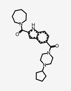 O=C(c1ccc2[nH]c(C(=O)N3CCCCCC3)cc2c1)N1CCN(C2CCCC2)CC1